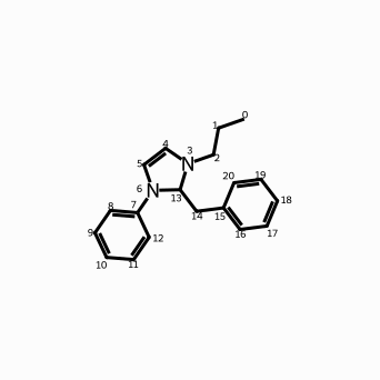 CCCN1C=CN(c2ccccc2)C1Cc1ccccc1